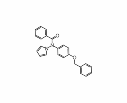 O=C(c1ccccc1)N(c1ccc(OCc2ccccc2)cc1)n1cccc1